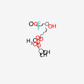 C#CCC(CC#C)COC(=O)OC(C)OC(=O)CCC/C=C\C[C@H]1[C@@H](O)CC[C@@H]1/C=C/C(F)(F)COc1ccccc1